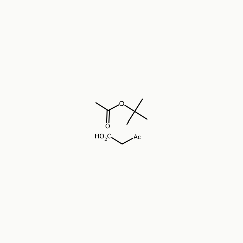 CC(=O)CC(=O)O.CC(=O)OC(C)(C)C